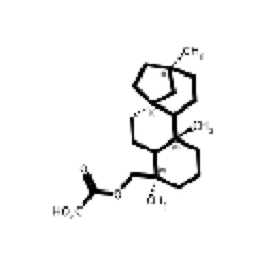 C[C@@]12CCC3[C@@](CCC4[C@](C)(COC(=O)C(=O)O)CCC[C@]43C)(CC1)C2